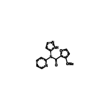 COc1ccoc1C(=O)N(c1ccccn1)c1ccn[nH]1